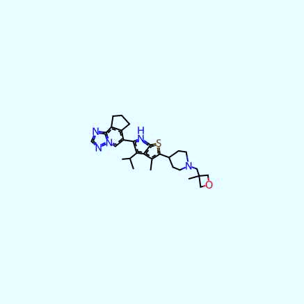 Cc1c(C2CCN(CC3(C)COC3)CC2)sc2[nH]c(-c3cn4ncnc4c4c3CCC4)c(C(C)C)c12